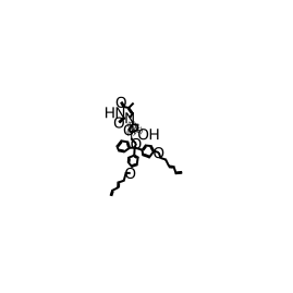 C=CC=CCCOc1ccc(C(OC[C@H]2O[C@@H](n3cc(C)c(=O)[nH]c3=O)C[C@@H]2O)(c2ccccc2)c2ccc(OCCC=CC=C)cc2)cc1